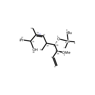 C=C[C@H](OC)[C@@H](O[Si](C)(C)C(C)(C)C)C(C)/C=C(/C)C(O)C(C)C